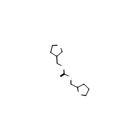 S=C(NCC1CCCO1)SCC1CCSC1